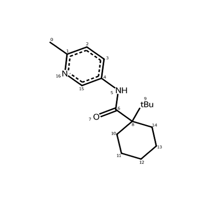 Cc1ccc(NC(=O)C2(C(C)(C)C)CCCCC2)cn1